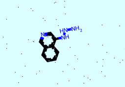 NNNc1cncc2ccccc12